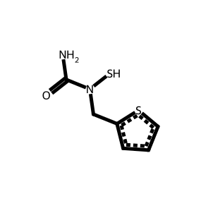 NC(=O)N(S)Cc1cccs1